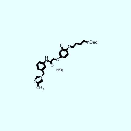 Br.CCCCCCCCCCCCCCOc1ccc(OCC(=O)Nc2cccc(CN3C=C(C)SC3)c2)cc1F